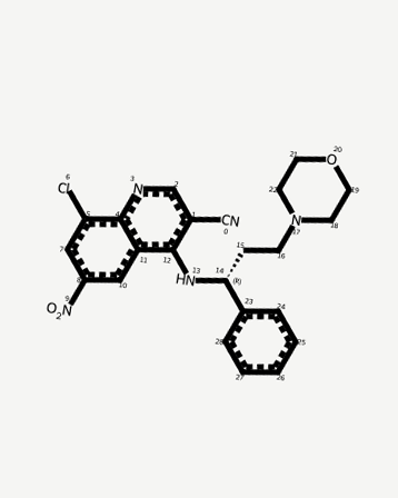 N#Cc1cnc2c(Cl)cc([N+](=O)[O-])cc2c1N[C@H](CCN1CCOCC1)c1ccccc1